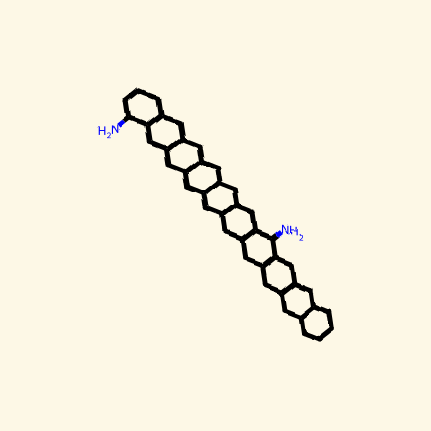 NC1CCCC2CC3CC4CC5CC6CC7C(CC6CC5CC4CC3CC12)CC1CC2CC3CCCCC3CC2CC1C7N